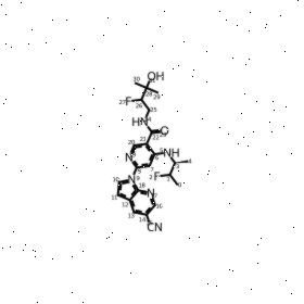 CC(F)[C@H](C)Nc1cc(-n2ccc3cc(C#N)cnc32)ncc1C(=O)NCC(F)C(C)(C)O